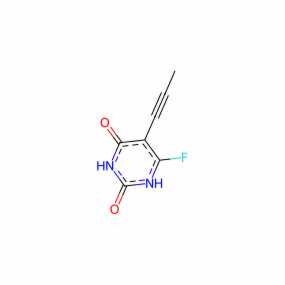 CC#Cc1c(F)[nH]c(=O)[nH]c1=O